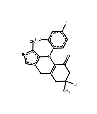 CC1(C)CC(=O)C2=C(Cc3c[nH]c(C(F)(F)F)c3N2c2ccc(F)cc2C(F)(F)F)C1